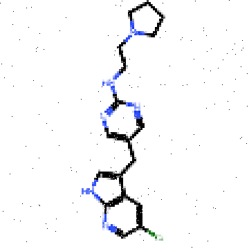 Clc1cnc2[nH]cc(Cc3cnc(NCCN4CCCC4)nc3)c2c1